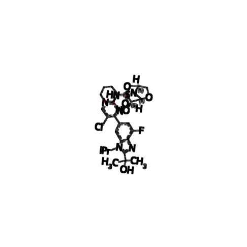 CC(C)n1c(C(C)(C)O)nc2c(F)cc(-c3nc(N[C@@H]4C[C@H]5CO[C@@H]([C@H]4O)N5S(=O)(=O)C4CCCCC4)ncc3Cl)cc21